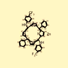 FC(F)(F)c1ccc(Nc2c3nc(c(-c4ccccc4)c4ccc([nH]4)c(Nc4ccc(C(F)(F)F)cc4)c4nc(c(-c5ccccc5)c5ccc2[nH]5)C=C4)C=C3)cc1.[Zn]